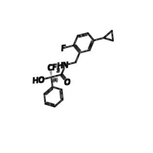 O=C(NCc1cc(C2CC2)ccc1F)[C@](O)(c1ccccc1)C(F)(F)F